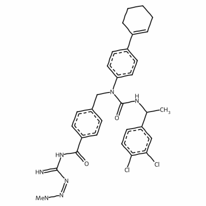 CN/N=N\C(=N)NC(=O)c1ccc(CN(C(=O)NC(C)c2ccc(Cl)c(Cl)c2)c2ccc(C3=CCCCC3)cc2)cc1